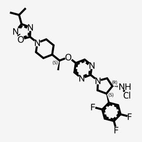 CC(C)c1noc(N2CCC([C@H](C)Oc3cnc(N4C[C@H](NCl)[C@@H](c5cc(F)c(F)cc5F)C4)nc3)CC2)n1